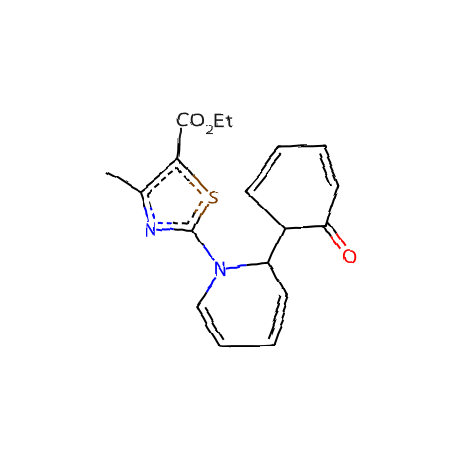 CCOC(=O)c1sc(N2C=CC=CC2C2C=CC=CC2=O)nc1C